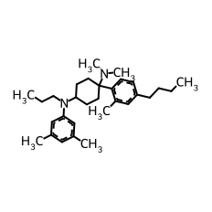 CCCCc1ccc(C2(N(C)C)CCC(N(CCC)c3cc(C)cc(C)c3)CC2)c(C)c1